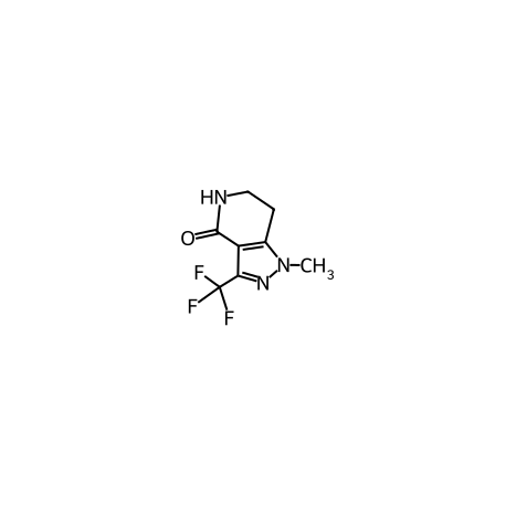 Cn1nc(C(F)(F)F)c2c1CCNC2=O